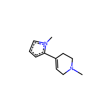 CN1CC=C(c2cccn2C)CC1